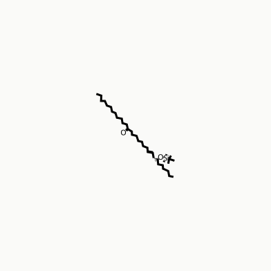 CCCCCCCCCCCCC(=O)CCCCCCCC=CC[C@@H](CCCCCC)O[Si](C)(C)C(C)(C)C